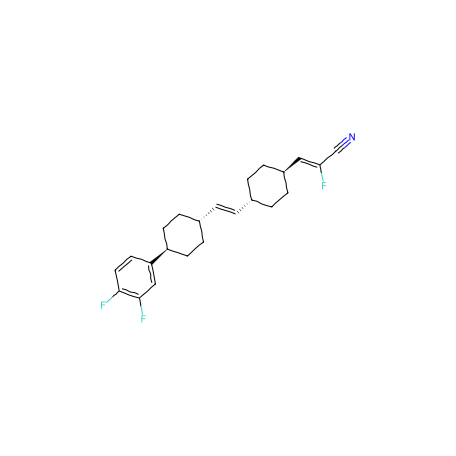 N#CC(F)=C[C@H]1CC[C@H](/C=C/[C@H]2CC[C@H](c3ccc(F)c(F)c3)CC2)CC1